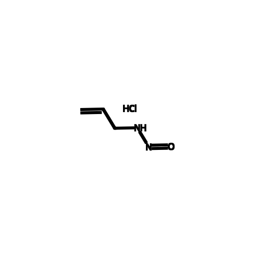 C=CCNN=O.Cl